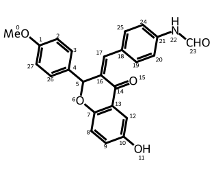 COc1ccc(C2Oc3ccc(O)cc3C(=O)C2=Cc2ccc(NC=O)cc2)cc1